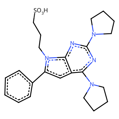 O=S(=O)(O)CCCn1c(-c2ccccc2)cc2c(N3CCCC3)nc(N3CCCC3)nc21